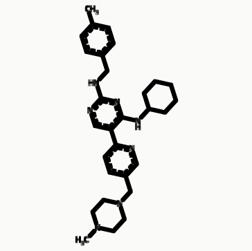 Cc1ccc(CNc2ncc(-c3ccc(CN4CCN(C)CC4)cn3)c(NC3CCCCC3)n2)cc1